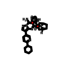 CS(=O)(=O)c1c(C2CC3CC[C@H](C2)N3C(=O)c2nnc[nH]2)nc2c(-c3ccc(C4CCCCC4)nc3)cnn2c1N